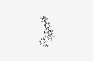 CCCC1CCCN(CC2CCCCC2NC(=O)c2ccc(-n3ccnc3)nc2)C1